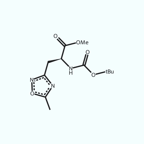 COC(=O)[C@H](Cc1noc(C)n1)NC(=O)OC(C)(C)C